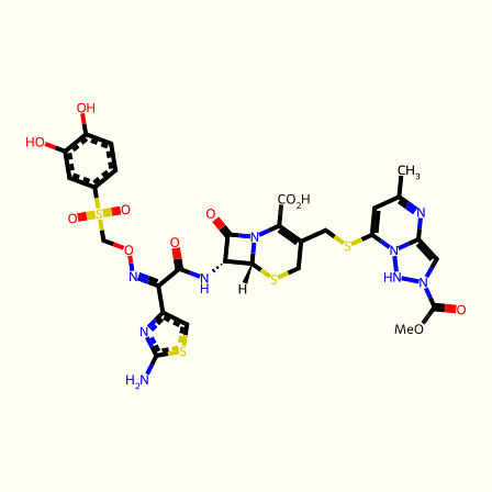 COC(=O)N1C=C2N=C(C)C=C(SCC3=C(C(=O)O)N4C(=O)[C@@H](NC(=O)/C(=N\OCS(=O)(=O)c5ccc(O)c(O)c5)c5csc(N)n5)[C@H]4SC3)N2N1